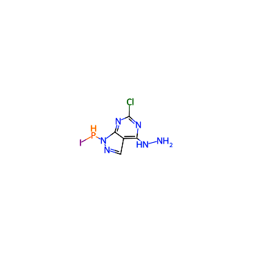 NNc1nc(Cl)nc2c1cnn2PI